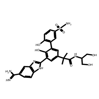 CC(C)(C(=O)NC(CO)CO)c1cc(-c2nc3cc(C(=N)N)ccc3[nH]2)c(O)c(-c2cc(S(N)(=O)=O)ccc2O)c1